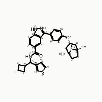 CN1[C@@H]2CC[C@H]1C[C@H](Oc1ccc(-c3n[nH]c4ccc(C(=O)NC(c5ccsc5)C5CCC5)cc34)cc1)C2